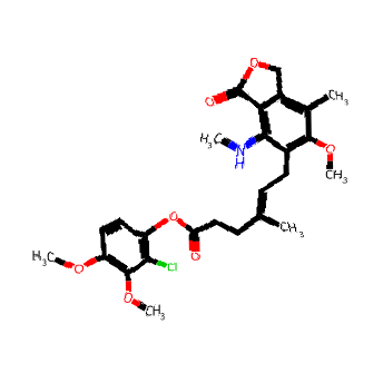 CNc1c(C/C=C(\C)CCC(=O)Oc2ccc(OC)c(OC)c2Cl)c(OC)c(C)c2c1C(=O)OC2